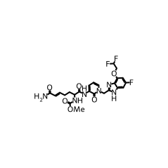 COC(=O)NC(CCC=CC(N)=O)C(=O)Nc1cccn(Cc2nc3c(OCC(F)F)cc(F)cc3[nH]2)c1=O